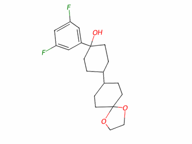 OC1(c2cc(F)cc(F)c2)CCC(C2CCC3(CC2)OCCO3)CC1